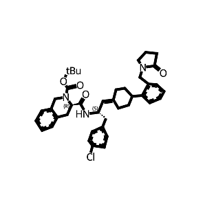 CC(C)(C)OC(=O)N1Cc2ccccc2C[C@@H]1C(=O)N[C@H](C=C1CCC(c2ccccc2CN2CCCC2=O)CC1)Cc1ccc(Cl)cc1